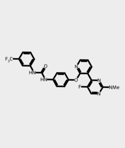 CNc1ncc(F)c(-c2cccnc2Oc2ccc(NC(=O)Nc3cccc(C(F)(F)F)c3)cc2)n1